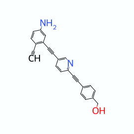 C#Cc1ccc(N)cc1C#Cc1ccc(C#Cc2ccc(CO)cc2)nc1